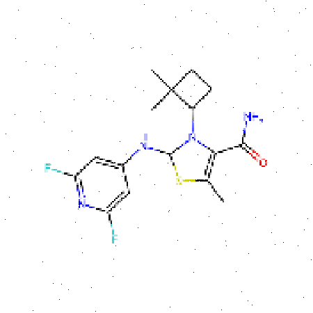 CC1=C(C(N)=O)N(C2CCC2(C)C)C(Nc2cc(F)nc(F)c2)S1